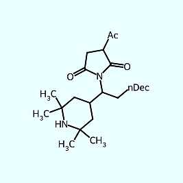 CCCCCCCCCCCC(C1CC(C)(C)NC(C)(C)C1)N1C(=O)CC(C(C)=O)C1=O